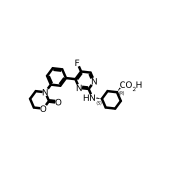 O=C(O)[C@@H]1CCC[C@H](Nc2ncc(F)c(-c3cccc(N4CCCOC4=O)c3)n2)C1